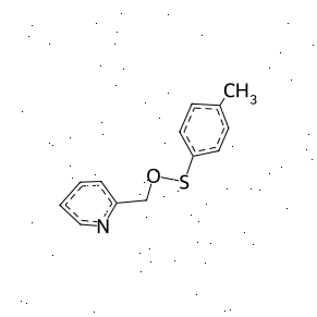 Cc1ccc(SOCc2ccccn2)cc1